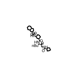 CCCCC(NC(=O)c1cccc(NS(=O)(=O)c2ccc3ccccc3c2)c1)C(=O)CNC(=O)c1ccccc1